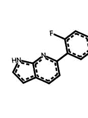 Fc1ccccc1-c1ccc2cc[nH]c2n1